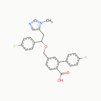 Cn1cncc1CC(OCc1ccc(C(=O)O)c(-c2ccc(F)cc2)c1)c1ccc(F)cc1